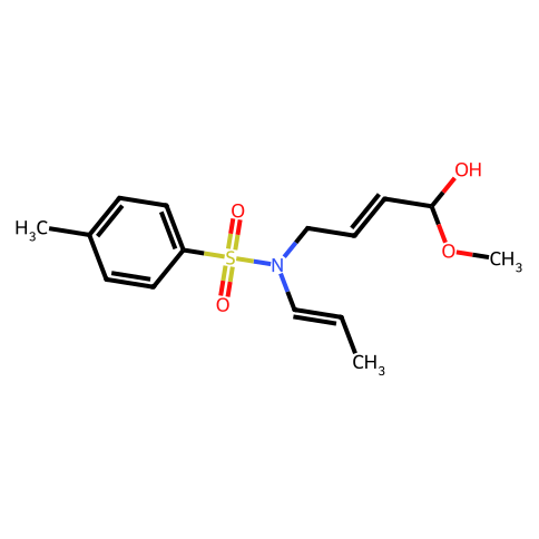 C/C=C/N(C/C=C/C(O)OC)S(=O)(=O)c1ccc(C)cc1